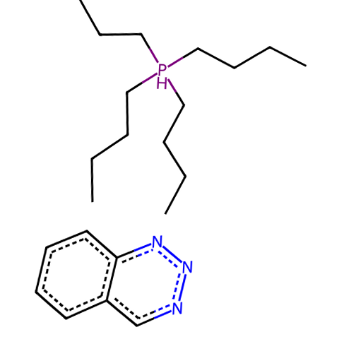 CCCC[PH](CCCC)(CCCC)CCCC.c1ccc2nnncc2c1